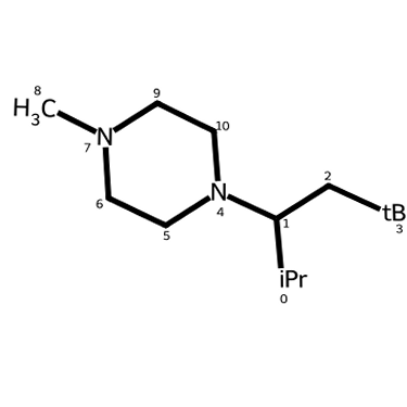 CC(C)C(CC(C)(C)C)N1CCN(C)CC1